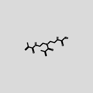 C=C(C)C(=O)NCCN(CCNC(=O)C(C)(C)C)C(=O)C(=C)C